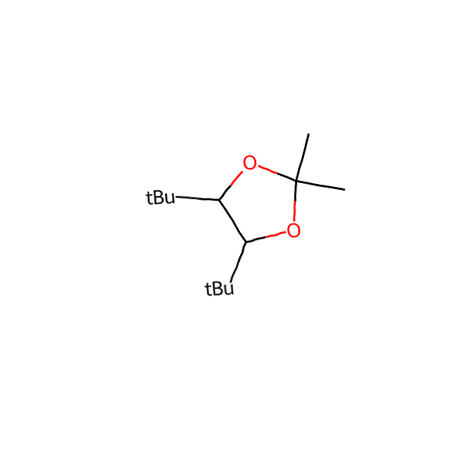 CC1(C)OC(C(C)(C)C)C(C(C)(C)C)O1